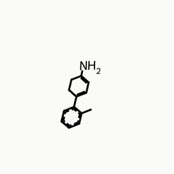 Cc1ccccc1C1=CC=C(N)CC1